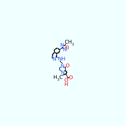 Cc1nc(-c2ccc3ccnc(NCCN4CCn5c(cc(C(=O)O)c5C)C4=O)c3c2)no1